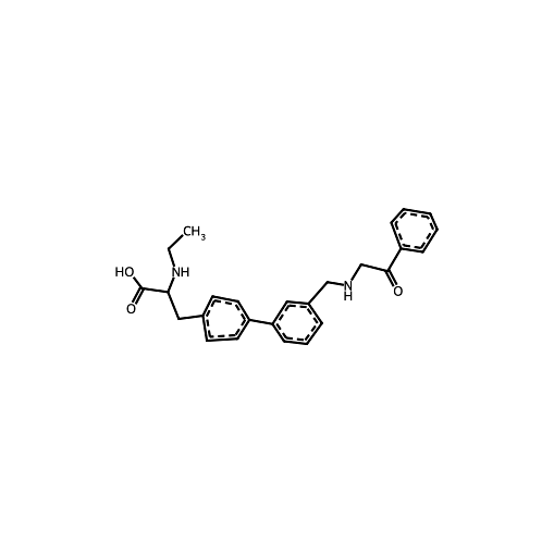 CCNC(Cc1ccc(-c2cccc(CNCC(=O)c3ccccc3)c2)cc1)C(=O)O